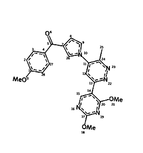 COc1ccc(C(=O)c2ccn(-c3cc(-c4cnc(OC)nc4OC)nnc3C)c2)cc1